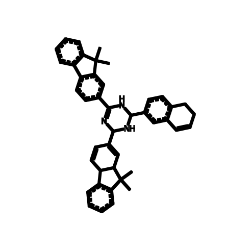 CC1(C)c2ccccc2-c2ccc(C3=NC(C4=CC5C(C=C4)c4ccccc4C5(C)C)NC(c4ccc5c(c4)C=CCC5)N3)cc21